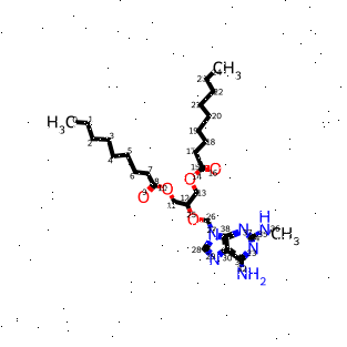 CCCCCCCCC(=O)OCC(COC(=O)CCCCCCCC)OCn1cnc2c(N)nc(NC)nc21